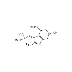 CCCCCC1CN(O)CC2=C1C1=CC(OC)([N+](=O)[O-])C=CC1=N2